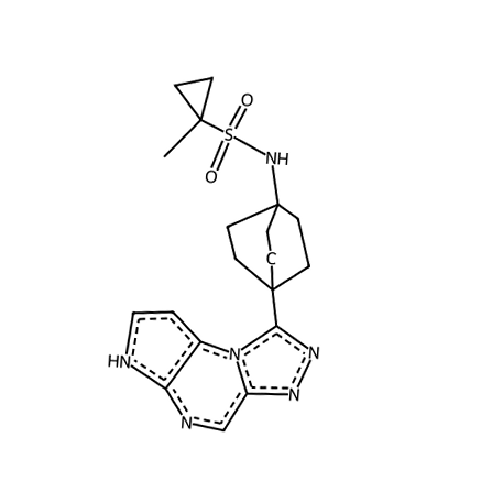 CC1(S(=O)(=O)NC23CCC(c4nnc5cnc6[nH]ccc6n45)(CC2)CC3)CC1